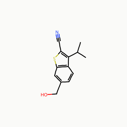 CC(C)c1c(C#N)sc2cc(CO)ccc12